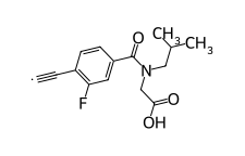 [C]#Cc1ccc(C(=O)N(CC(=O)O)CC(C)C)cc1F